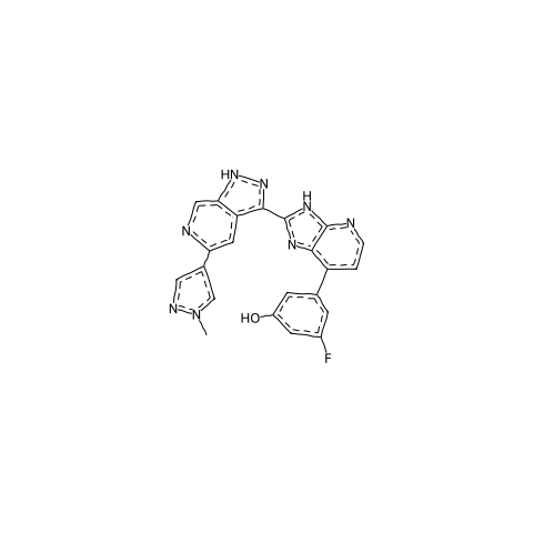 Cn1cc(-c2cc3c(-c4nc5c(-c6cc(O)cc(F)c6)ccnc5[nH]4)n[nH]c3cn2)cn1